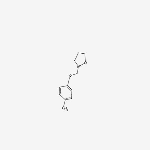 Cc1ccc(SCN2CCCO2)cc1